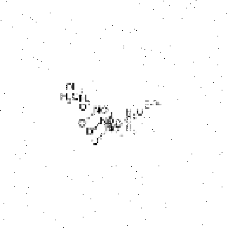 O.O.O.O.O.O.O=[N+]([O-])[O-].O=[N+]([O-])[O-].O=[N+]([O-])[O-].[Er+3]